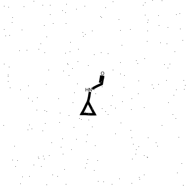 O=CN[C]1CC1